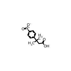 CC(C)(CC(=O)O)c1ccc([N+](=O)[O-])cc1